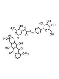 COc1cccc2c1C(=O)c1c(O)c3c(c(O)c1C2=O)C[C@@](O)(C(C)=O)C[C@@H]3OC1CC(NC(=O)OCc2ccc([C@@H]3O[C@H](CO)[C@@H](O)[C@H](O)[C@H]3O)cc2)C(O)C(C)O1